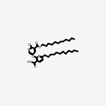 CCCCCCCCCCCCOC(=O)c1cccnc1Cl.CCCCCCCCCCCCc1ccc(C(=O)O)c(Cl)n1